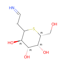 N=C[CH]C1S[C@H](CO)[C@H](O)[C@H](O)[C@H]1O